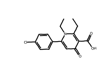 CCc1c(C(=O)O)c(=O)cc(-c2ccc(Cl)cc2)n1CC